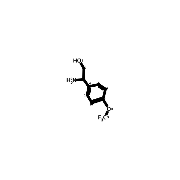 NC(CO)c1ccc(OC(F)(F)F)cc1